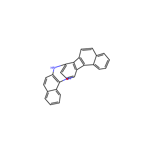 c1ccc2c3c(ccc2c1)-c1c-3c2ccc1[nH]c1ccc3ccccc3c1[nH]2